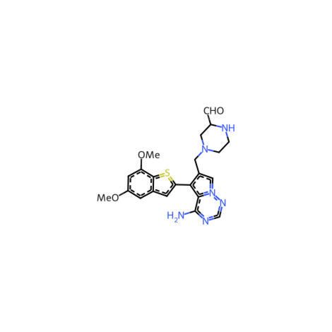 COc1cc(OC)c2sc(-c3c(CN4CCNC(C=O)C4)cn4ncnc(N)c34)cc2c1